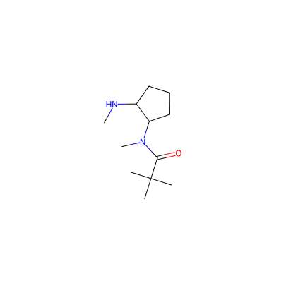 CNC1CCCC1N(C)C(=O)C(C)(C)C